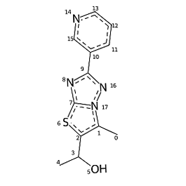 Cc1c(C(C)O)sc2nc(-c3cccnc3)nn12